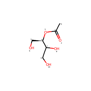 CC(=O)O[C@H](CO)C(O)CO